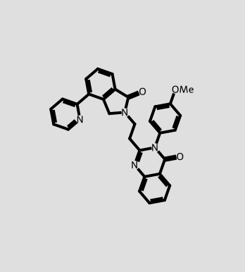 COc1ccc(-n2c(CCN3Cc4c(cccc4-c4ccccn4)C3=O)nc3ccccc3c2=O)cc1